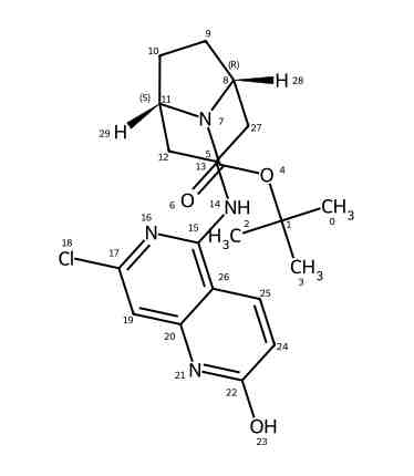 CC(C)(C)OC(=O)N1[C@@H]2CC[C@H]1CC(Nc1nc(Cl)cc3nc(O)ccc13)C2